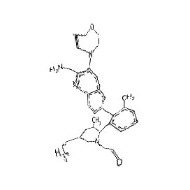 Cc1cccc(C2C(C)CC(C)CN2C=O)c1-c1ccc2nc(N)c(N3CCOCC3)cc2c1